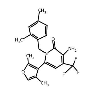 Cc1ccc(Cn2c(-c3c(C)coc3C)cc(C(F)(F)F)c(N)c2=O)c(C)c1